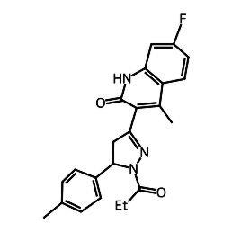 CCC(=O)N1N=C(c2c(C)c3ccc(F)cc3[nH]c2=O)CC1c1ccc(C)cc1